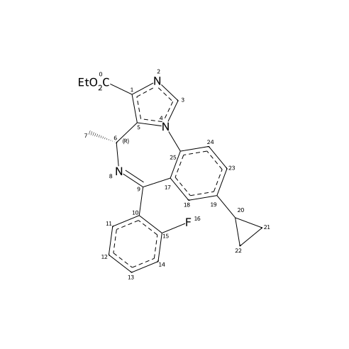 CCOC(=O)c1ncn2c1[C@@H](C)N=C(c1ccccc1F)c1cc(C3CC3)ccc1-2